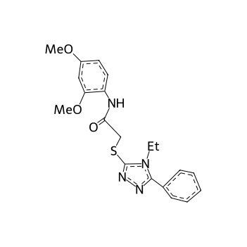 CCn1c(SCC(=O)Nc2ccc(OC)cc2OC)nnc1-c1ccccc1